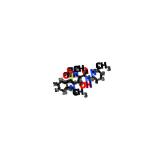 Cc1cccc(NC(=O)C2=C(O)c3c(c4ccccc4n3C)S(=O)(=O)N2C)n1